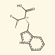 O=C(O)[C@H](Cc1c[nH]c2ccccc12)N(F)I